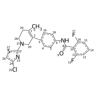 CC1=C(c2ccc(NC(=O)c3c(F)cccc3F)cc2)CN(c2nc(Cl)cs2)CC1